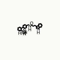 O=C(CCc1c[nH]c2ccccc12)NCc1ccc(-c2ccccc2-c2nnn[nH]2)cc1